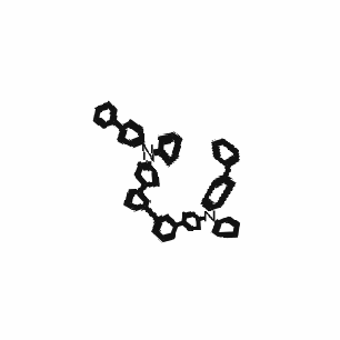 C1=CC(c2ccc(N(c3ccccc3)c3ccc(-c4ccccc4)cc3)cc2)=CC(c2cccc(C3=CCC(N(c4ccccc4)c4ccc(-c5ccccc5)cc4)C=C3)c2)C1